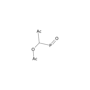 CC(=O)OC(P=O)C(C)=O